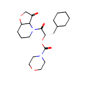 O=C1COC2CCCN(C(=O)[C@H](CC3CCCCC3)OC(=O)N3CCOCC3)C12